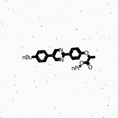 CCCCc1ccc(-c2cnc(-c3ccc(OC(C)C(=O)OCCC)cc3)nc2)cc1